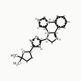 CC1(C)CCC(c2noc(N3CN=C4c5ccccc5-n5cncc5N43)n2)O1